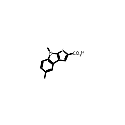 Cc1ccc2c(c1)c1cc(C(=O)O)sc1n2C